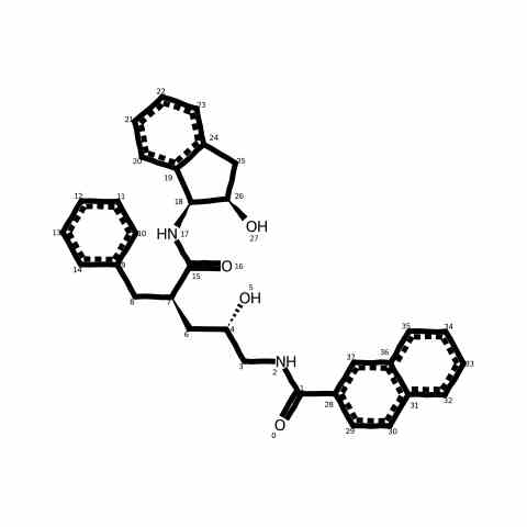 O=C(NC[C@@H](O)C[C@@H](Cc1ccccc1)C(=O)N[C@H]1c2ccccc2C[C@H]1O)c1ccc2ccccc2c1